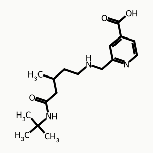 CC(CCNCc1cc(C(=O)O)ccn1)CC(=O)NC(C)(C)C